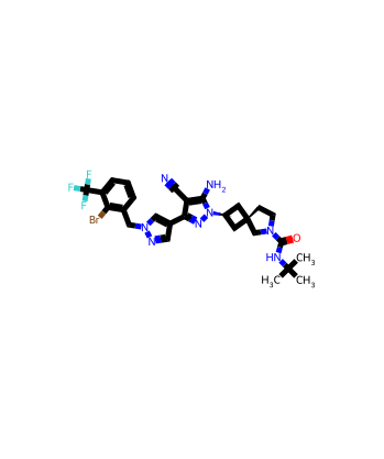 CC(C)(C)NC(=O)N1CC[C@]2(C1)C[C@H](n1nc(-c3cnn(Cc4cccc(C(F)(F)F)c4Br)c3)c(C#N)c1N)C2